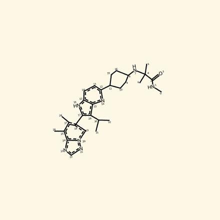 CNC(=O)C(C)(C)NC1CCC(c2ccc3[nH]c(-c4cn5ncnc5c(C)c4C)c(C(C)C)c3n2)CC1